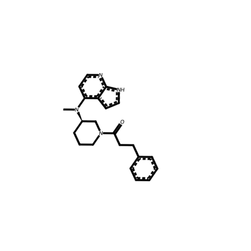 CN(c1ccnc2[nH]ccc12)[C@@H]1CCCN(C(=O)CCc2ccccc2)C1